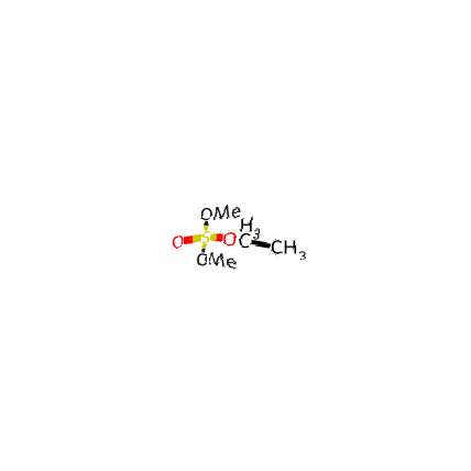 CC.COS(=O)(=O)OC